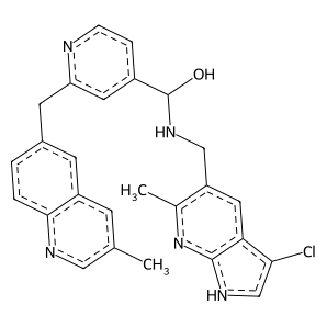 Cc1cnc2ccc(Cc3cc(C(O)NCc4cc5c(Cl)c[nH]c5nc4C)ccn3)cc2c1